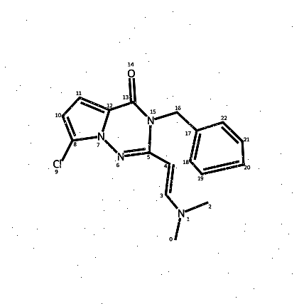 CN(C)C=Cc1nn2c(Cl)ccc2c(=O)n1Cc1ccccc1